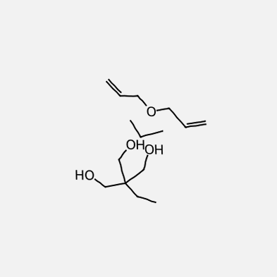 C=CCOCC=C.CCC.CCC(CO)(CO)CO